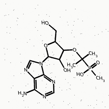 CC(C)(OC1C(CO)OC(n2cnc3c(N)ncnc32)C1O)P(C)(=O)O